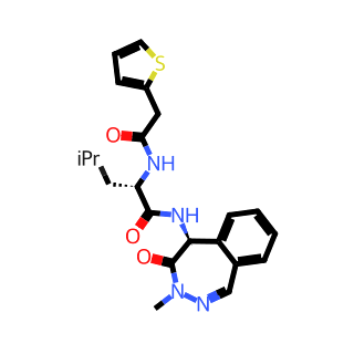 CC(C)C[C@H](NC(=O)Cc1cccs1)C(=O)N[C@@H]1C(=O)N(C)N=Cc2ccccc21